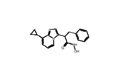 O=C(NO)C(Cc1ccccc1)c1cnc2c(C3CC3)cccn12